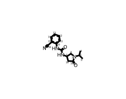 CC(C)N1CC(NC(=O)Nc2ccccc2C#N)CC1=O